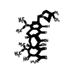 CN(C)c1cc(CN2CC(C)(C)C2)c(O)c2c1C[C@H]1C[C@H]3[C@H](N(C)C)C(O)=C(C(N)=O)C(=O)[C@@]3(O)C(O)=C1C2=O